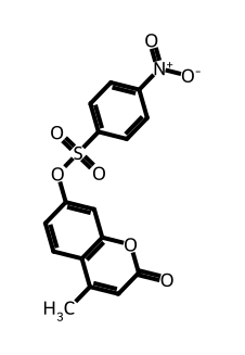 Cc1cc(=O)oc2cc(OS(=O)(=O)c3ccc([N+](=O)[O-])cc3)ccc12